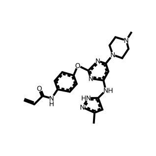 C=CC(=O)Nc1ccc(Oc2nc(Nc3cc(C)n[nH]3)cc(N3CCN(C)CC3)n2)cc1